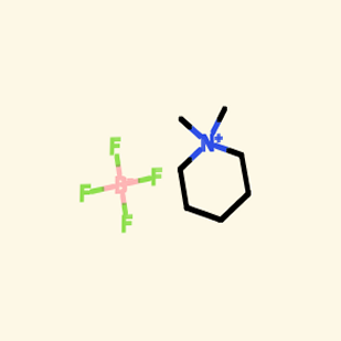 C[N+]1(C)CCCCC1.F[B-](F)(F)F